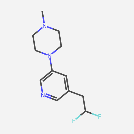 CN1CCN(c2cncc(CC(F)F)c2)CC1